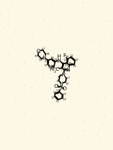 Cc1c(N2CCN(S(=O)(=O)c3ccccc3)CC2)nc2cccc(F)c2c1Nc1cncc(N2CCOCC2)c1